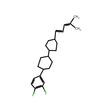 CC(C)=C/C=C/C1CCC(C2CCC(c3ccc(F)c(F)c3)CC2)CC1